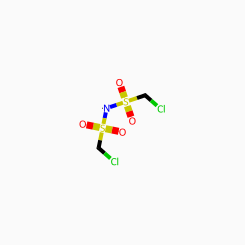 O=S(=O)(CCl)[N]S(=O)(=O)CCl